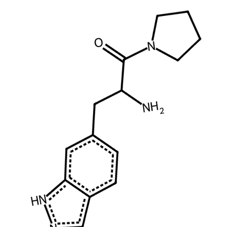 NC(Cc1ccc2cn[nH]c2c1)C(=O)N1CCCC1